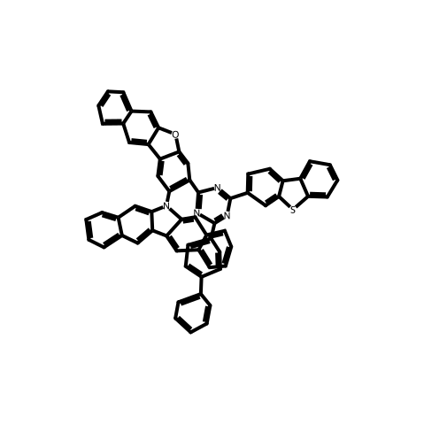 c1ccc(-c2ccc(-c3nc(-c4ccc5c(c4)sc4ccccc45)nc(-c4cc5oc6cc7ccccc7cc6c5cc4-n4c5cc6ccccc6cc5c5cc6ccccc6cc54)n3)cc2)cc1